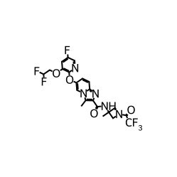 Cc1c(C(=O)NC2(C)CN(C(=O)C(F)(F)F)C2)nc2ccc(Oc3ncc(F)cc3OCC(F)F)cn12